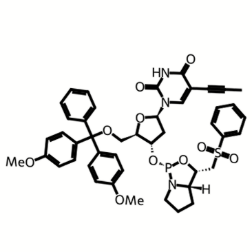 CC#Cc1cn([C@H]2C[C@H](O[P@]3O[C@H](CS(=O)(=O)c4ccccc4)[C@@H]4CCCN43)[C@@H](COC(c3ccccc3)(c3ccc(OC)cc3)c3ccc(OC)cc3)O2)c(=O)[nH]c1=O